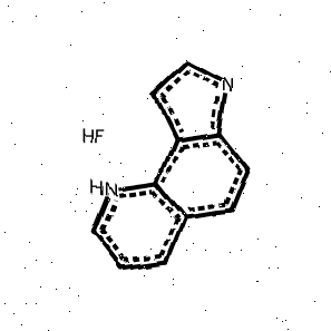 F.c1c[nH]c2c(c1)ccc1nccc12